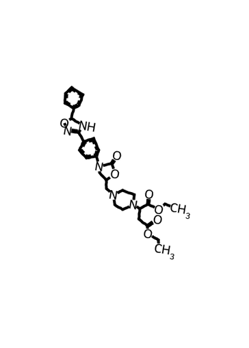 CCOC(=O)CC(C(=O)OCC)N1CCN(CC2CN(c3ccc(C4=NOC(c5ccccc5)N4)cc3)C(=O)O2)CC1